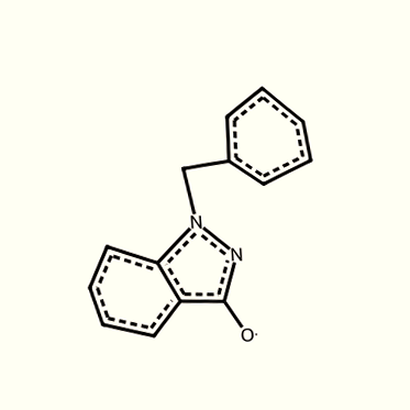 [O]c1nn(Cc2ccccc2)c2ccccc12